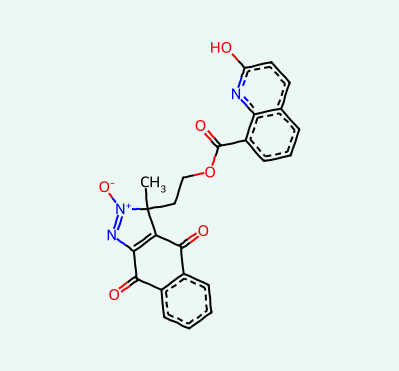 CC1(CCOC(=O)c2cccc3ccc(O)nc23)C2=C(N=[N+]1[O-])C(=O)c1ccccc1C2=O